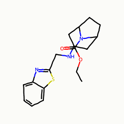 CCOC(=O)N1C2CCC1CC(NCc1nc3ccccc3s1)C2